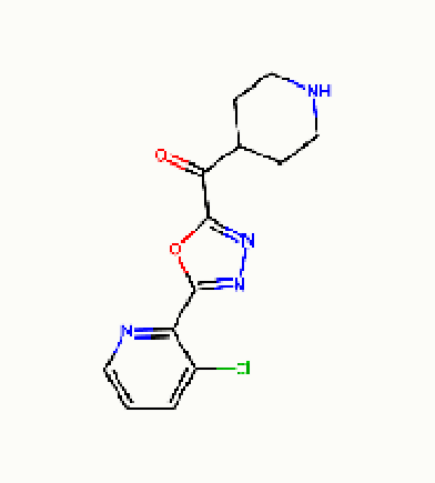 O=C(c1nnc(-c2ncccc2Cl)o1)C1CCNCC1